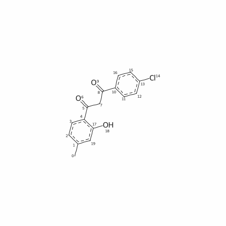 Cc1ccc(C(=O)CC(=O)c2ccc(Cl)cc2)c(O)c1